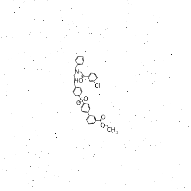 CCOC(=O)c1cccc(-c2ccc(S(=O)(=O)c3ccc(CCCN(Cc4ccccc4)C[C@H](O)c4cccc(Cl)c4)cc3)cc2)c1